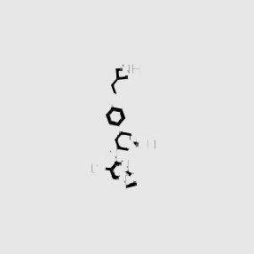 CN1C[C@H](Nc2nc3sccn3c(=O)c2Br)C[C@H](c2ccc(OCCC3CNC3)cc2)C1